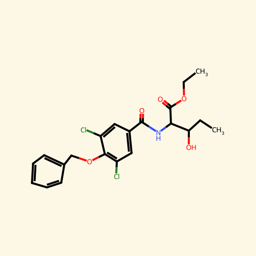 CCOC(=O)C(NC(=O)c1cc(Cl)c(OCc2ccccc2)c(Cl)c1)C(O)CC